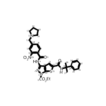 CCOC(=O)n1nc(NC(=O)c2ccc(CN3CCCC3)cc2[N+](=O)[O-])c2cc(C(=O)NC(C)(C)c3ccccc3)sc21